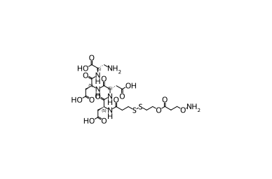 NC[C@H](NC(=O)[C@H](CC(=O)O)NC(=O)[C@H](CC(=O)O)NC(=O)[C@H](CC(=O)O)NC(=O)CCSSCCOC(=O)CCON)C(=O)O